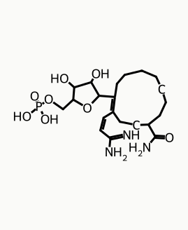 N=C(N)/C=C\C1=C(/C2OC(COP(=O)(O)O)C(O)C2O)CCCCCCCC(C(N)=O)CC1